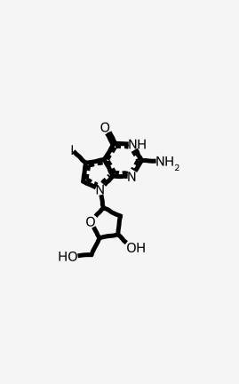 Nc1nc2c(c(I)cn2C2CC(O)C(CO)O2)c(=O)[nH]1